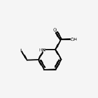 O=C(O)C1C=CC=C(CI)N1